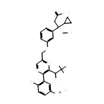 CC[C@@](CC(=O)O)(c1cccc(OCc2cnc(-c3cc(OC)ccc3F)c(C(C)C(F)(F)F)n2)c1)C1CC1